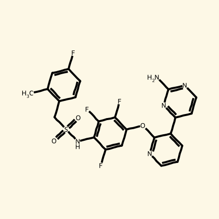 Cc1cc(F)ccc1CS(=O)(=O)Nc1c(F)cc(Oc2ncccc2-c2ccnc(N)n2)c(F)c1F